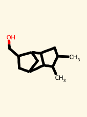 CC1CC2C3CC(CC3CO)C2C1C